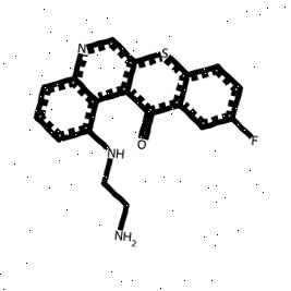 NCCNc1cccc2ncc3sc4ccc(F)cc4c(=O)c3c12